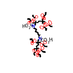 C=CC(=O)OCC(CCC(COC(=O)C=C)(COC(=O)C=C)CN(CCCCCCN(CC(CCC(COC(=O)C=C)(COC(=O)C=C)COC(=O)C=C)(COC(=O)C=C)COC(=O)C=C)C(=O)O)C(=O)O)(COC(=O)C=C)COC(=O)C=C